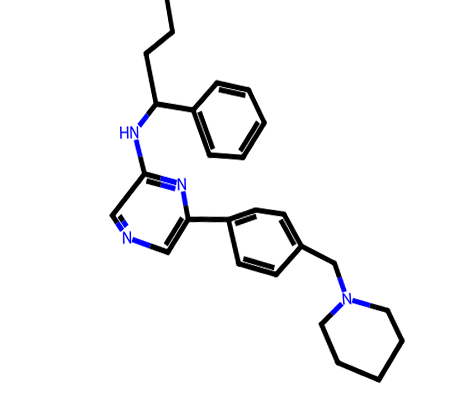 CCCC(Nc1cncc(-c2ccc(CN3CCCCC3)cc2)n1)c1ccccc1